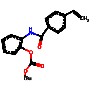 C=Cc1ccc(C(=O)Nc2ccccc2OC(=O)OC(C)(C)C)cc1